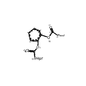 CCCCCCCC(=O)Oc1ccccc1OC(=O)C(C)CCC